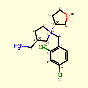 NC[C@H]1CC[N+](Cc2ccc(Cl)cc2Cl)([C@@H]2CCOC2)C1